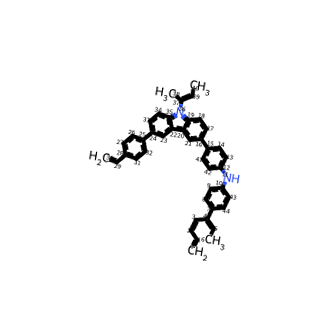 C=C/C=C\C(=C/C)c1ccc(Nc2ccc(-c3ccc4c(c3)c3cc(-c5ccc(C=C)cc5)ccc3n4/C(C)=C/C)cc2)cc1